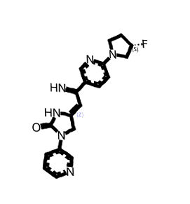 N=C(/C=C1/CN(c2cccnc2)C(=O)N1)c1ccc(N2CC[C@H](F)C2)nc1